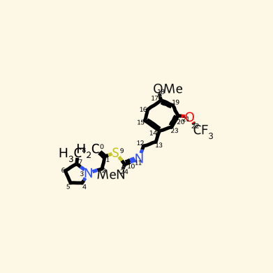 C=C(CN1CCCC1C)S/C(=N\CCC1=CCC(OC)=CC(OC(F)(F)F)=C1)NC